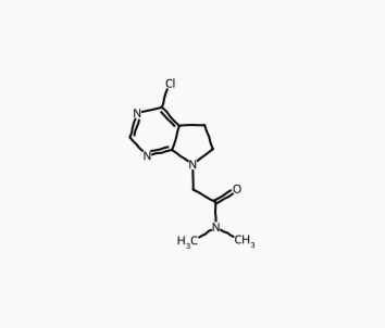 CN(C)C(=O)CN1CCc2c(Cl)ncnc21